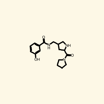 O=C(NCC1CNC(C(=O)N2CCCC2)C1)c1cccc(O)c1